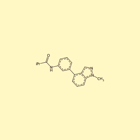 CC(C)C(=O)Nc1cccc(-c2cccc3c2cnn3C)c1